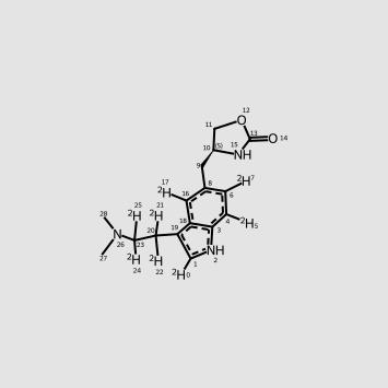 [2H]c1[nH]c2c([2H])c([2H])c(C[C@H]3COC(=O)N3)c([2H])c2c1C([2H])([2H])C([2H])([2H])N(C)C